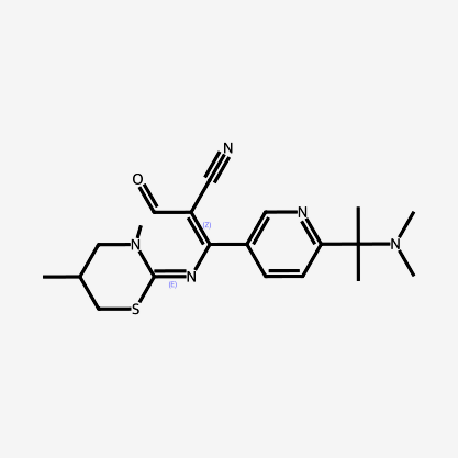 CC1CS/C(=N/C(=C(/C#N)C=O)c2ccc(C(C)(C)N(C)C)nc2)N(C)C1